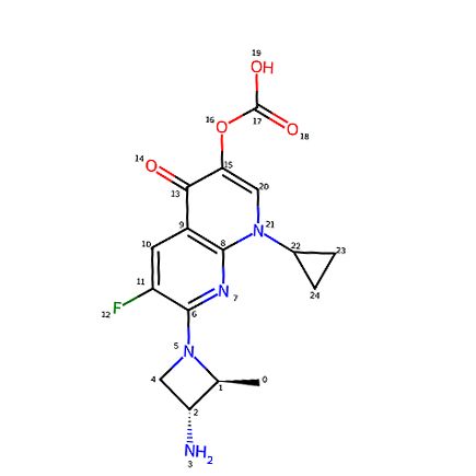 C[C@H]1[C@H](N)CN1c1nc2c(cc1F)c(=O)c(OC(=O)O)cn2C1CC1